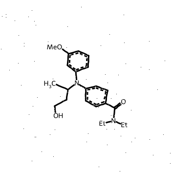 CCN(CC)C(=O)c1ccc(N(c2cccc(OC)c2)C(C)CCO)cc1